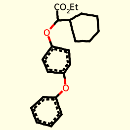 CCOC(=O)C(Oc1ccc(Oc2ccccc2)cc1)C1CCCCC1